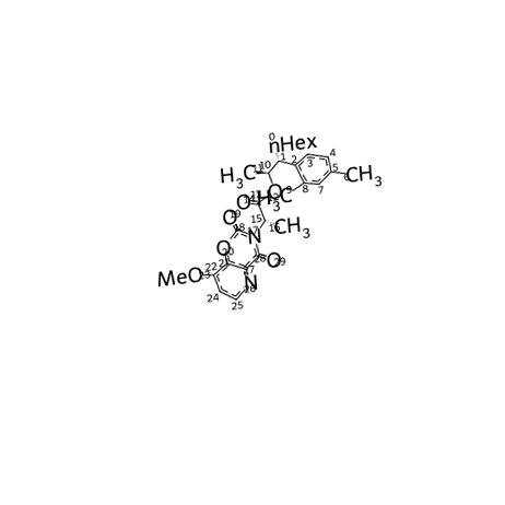 CCCCCC[C@H](c1ccc(C)cc1C)[C@H](C)OC(=O)[C@H](C)n1c(=O)oc2c(OC)ccnc2c1=O